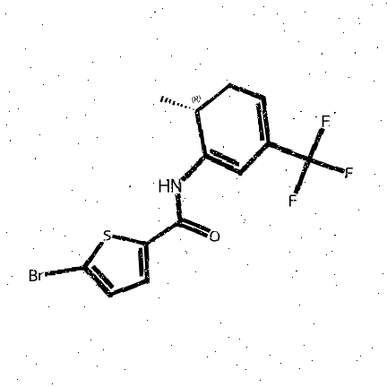 C[C@@H]1CC=C(C(F)(F)F)C=C1NC(=O)c1ccc(Br)s1